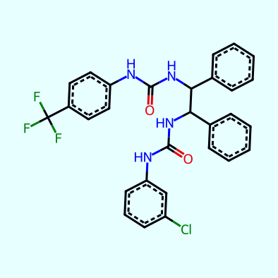 O=C(Nc1ccc(C(F)(F)F)cc1)NC(c1ccccc1)C(NC(=O)Nc1cccc(Cl)c1)c1ccccc1